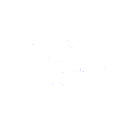 COC(=O)C(=O)[C@@H](N)N1CCCC1.Cl